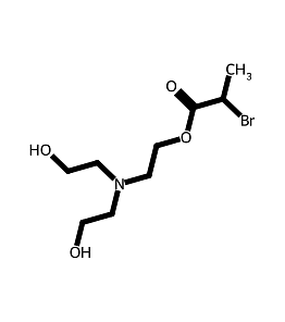 CC(Br)C(=O)OCCN(CCO)CCO